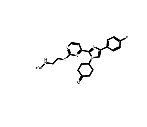 CC(C)(C)NCCOc1nccc(-c2nc(-c3ccc(F)cc3)cn2C2CCC(=O)CC2)n1